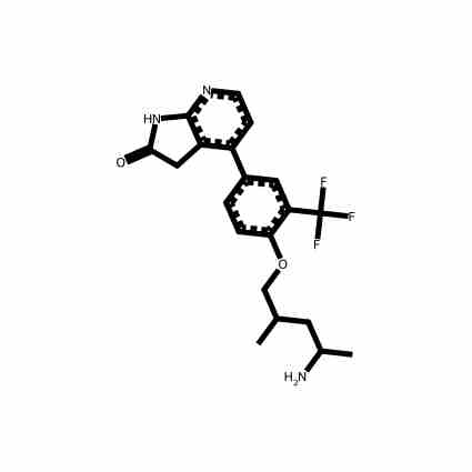 CC(N)CC(C)COc1ccc(-c2ccnc3c2CC(=O)N3)cc1C(F)(F)F